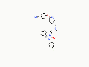 N#Cc1ccc(Oc2ccc(CN3CCC(N4C(=O)N(c5ccc(F)cc5)C[C@H]4c4ccccc4)CC3)cn2)cc1